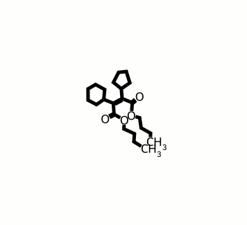 CCCCOC(=O)/C(=C(\C(=O)OCCCC)C1CCCC1)C1CCCCC1